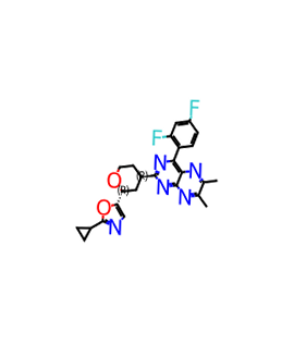 Cc1nc2nc([C@@H]3CCO[C@@H](c4cnc(C5CC5)o4)C3)nc(-c3ccc(F)cc3F)c2nc1C